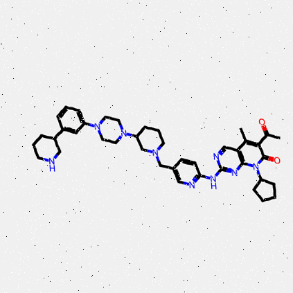 CC(=O)c1c(C)c2cnc(Nc3ccc(CN4CCCC(N5CCN(c6cccc(C7CCCNC7)c6)CC5)C4)cn3)nc2n(C2CCCC2)c1=O